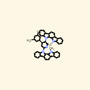 Cc1cc(-c2cc(-n3c4ccccc4c4ccc5c6ccccc6n(C)c5c43)ncc2-n2c3ccccc3c3ccc4c5ccccc5n(C)c4c32)cc(C(F)(F)F)c1